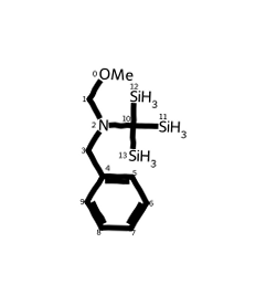 COCN(Cc1ccccc1)C([SiH3])([SiH3])[SiH3]